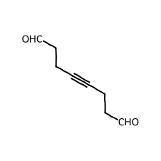 O=CCCC#CCCC=O